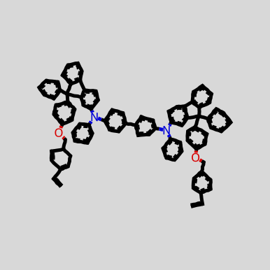 C=CC1=CCC(COc2ccc(C3(c4ccccc4)c4ccccc4-c4ccc(N(c5ccccc5)c5ccc(-c6ccc(N(c7ccccc7)c7ccc8c(c7)C(c7ccccc7)(c7ccc(OCc9ccc(C=C)cc9)cc7)c7ccccc7-8)cc6)cc5)cc43)cc2)C=C1